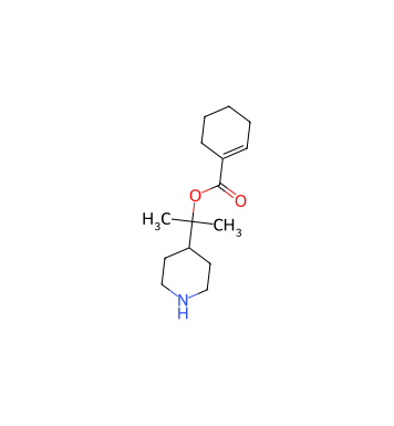 CC(C)(OC(=O)C1=CCCCC1)C1CCNCC1